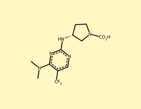 CN(C)c1nc(N[C@@H]2CCN(C(=O)O)C2)ncc1C(F)(F)F